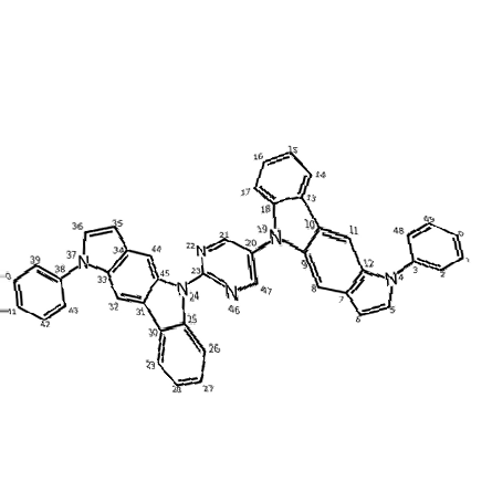 c1ccc(-n2ccc3cc4c(cc32)c2ccccc2n4-c2cnc(-n3c4ccccc4c4cc5c(ccn5-c5ccccc5)cc43)nc2)cc1